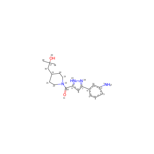 CNc1cccc(-c2cc(C(=O)N3CCC(CC(C)(C)O)CC3)[nH]n2)c1